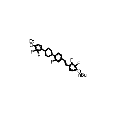 CCCCOc1ccc(/C=C/c2ccc(C3CCC(c4ccc(OCC)c(F)c4F)CC3)c(F)c2)c(F)c1F